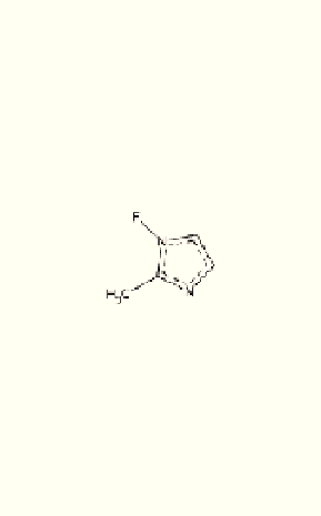 Cc1nccn1F